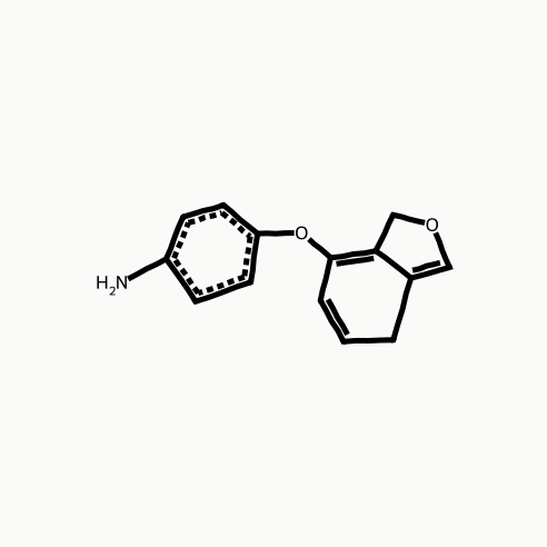 Nc1ccc(OC2=C3COC=C3CC=C2)cc1